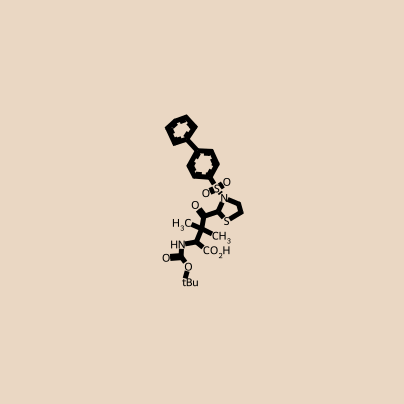 CC(C)(C)OC(=O)NC(C(=O)O)C(C)(C)C(=O)C1SCCN1S(=O)(=O)c1ccc(-c2ccccc2)cc1